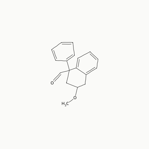 COC1Cc2ccccc2C(C=O)(c2ccccc2)C1